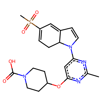 Cc1nc(OC2CCN(C(=O)O)CC2)cc(N2C=CC3=CC(S(C)(=O)=O)=CCC32)n1